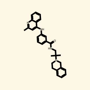 Cc1cc(Nc2cccc(C(=O)NCC(C)(C)N3CCc4ccccc4C3)c2)c2ccccc2n1